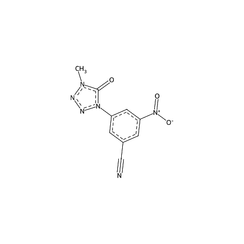 Cn1nnn(-c2cc(C#N)cc([N+](=O)[O-])c2)c1=O